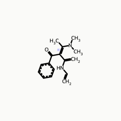 C=CNC(=C)/C(C(=O)c1ccccc1)=C(/C)N(C)C